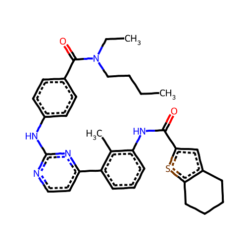 CCCCN(CC)C(=O)c1ccc(Nc2nccc(-c3cccc(NC(=O)c4cc5c(s4)CCCC5)c3C)n2)cc1